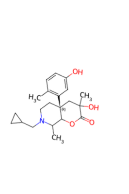 Cc1ccc(O)cc1[C@]12CCN(CC3CC3)C(C)C1OC(=O)C(C)(O)C2